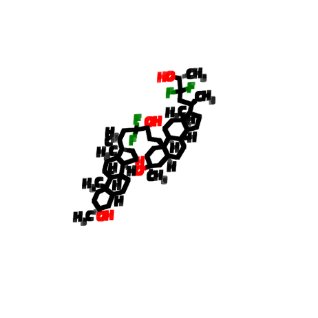 C[C@H](CC(F)(F)[C@@H](O)CC[C@]12CC[C@](C)(O)C[C@@H]1CC[C@H]1[C@@H]3CC[C@H]([C@H](C)CC(F)(F)[C@@H](C)O)[C@@]3(C)CC[C@@H]12)[C@H]1CC[C@H]2[C@@H]3CC[C@H]4C[C@@](C)(O)CC[C@]4(C)[C@H]3CC[C@]12C